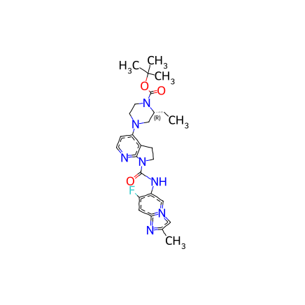 CC[C@@H]1CN(c2ccnc3c2CCN3C(=O)Nc2cn3cc(C)nc3cc2F)CCN1C(=O)OC(C)(C)C